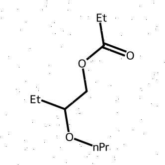 CCCOC(CC)COC(=O)CC